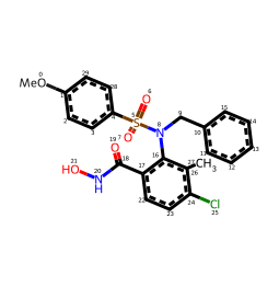 COc1ccc(S(=O)(=O)N(Cc2ccccc2)c2c(C(=O)NO)ccc(Cl)c2C)cc1